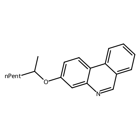 CCCCCC(C)Oc1ccc2c(c1)ncc1ccccc12